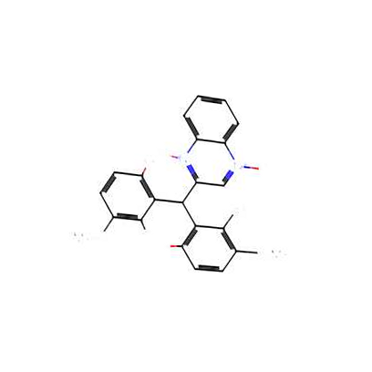 CCc1c(OC)ccc(O)c1C(c1c(O)ccc(OC)c1CC)c1c[n+]([O-])c2ccccc2[n+]1[O-]